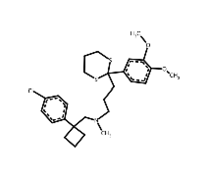 COc1ccc(C2(CCCN(C)CC3(c4ccc(Cl)cc4)CCC3)SCCCS2)cc1OC